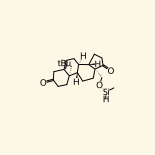 C[SiH](C)OC[C@]12CC[C@H]3[C@@H](CC=C4CC(=O)CC[C@@]43CC(C)(C)C)[C@@H]1CCC2=O